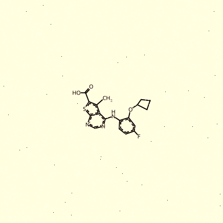 Cc1c(C(=O)O)sc2ncnc(Nc3ccc(F)cc3OC3CCC3)c12